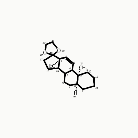 C[C@]12C=CC3C(CC[C@@H]4CCCC[C@]34C)C1CCC21OCCO1